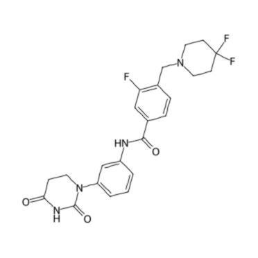 O=C1CCN(c2cccc(NC(=O)c3ccc(CN4CCC(F)(F)CC4)c(F)c3)c2)C(=O)N1